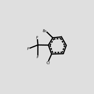 FC(F)(F)c1c(Br)[c]ccc1Cl